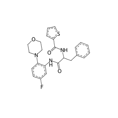 O=C(NC(Cc1ccccc1)C(=O)Nc1cc(F)ccc1N1CCOCC1)c1cccs1